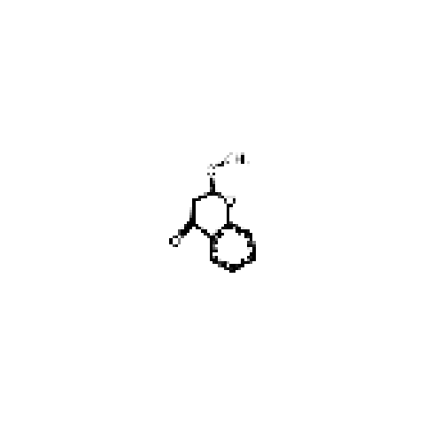 COC1CC(=O)c2ccccc2O1